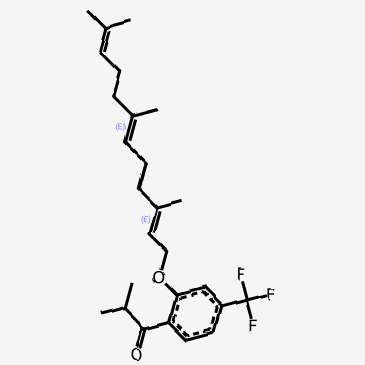 CC(C)=CCC/C(C)=C/CC/C(C)=C/COc1cc(C(F)(F)F)ccc1C(=O)C(C)C